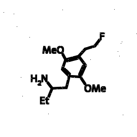 CCC(N)Cc1cc(OC)c(CCF)cc1OC